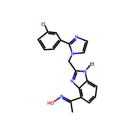 CCn1c(Cn2ccnc2-c2cccc(Cl)c2)nc2c(C(C)=NO)cccc21